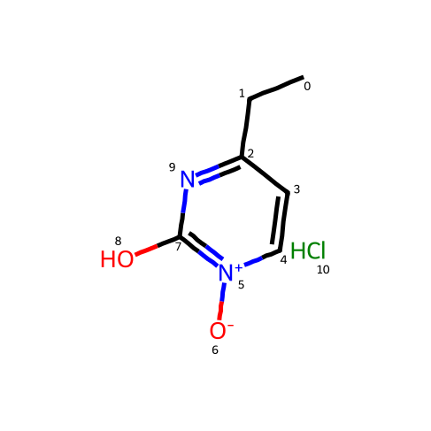 CCc1cc[n+]([O-])c(O)n1.Cl